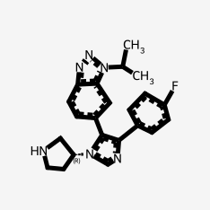 CC(C)n1nnc2ccc(-c3c(-c4ccc(F)cc4)ncn3[C@@H]3CCNC3)cc21